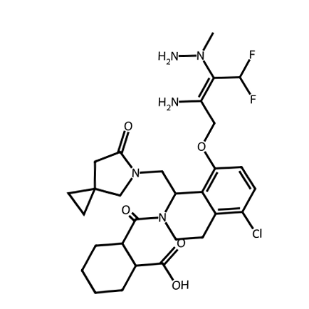 CN(N)/C(=C(\N)COc1ccc(Cl)c2c1C(CN1CC3(CC3)CC1=O)N(C(=O)C1CCCCC1C(=O)O)CC2)C(F)F